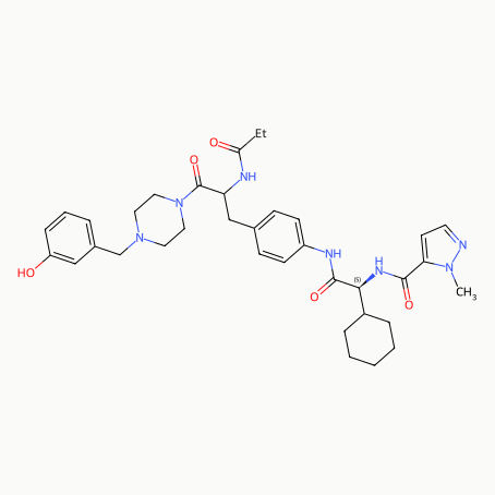 CCC(=O)NC(Cc1ccc(NC(=O)[C@@H](NC(=O)c2ccnn2C)C2CCCCC2)cc1)C(=O)N1CCN(Cc2cccc(O)c2)CC1